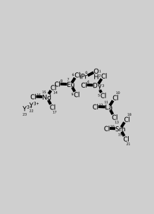 CC(C)O.[Cl][Dy]([Cl])[Cl].[Cl][Eu]([Cl])[Cl].[Cl][La]([Cl])[Cl].[Cl][Nd]([Cl])[Cl].[Cl][Sm]([Cl])[Cl].[Y+3].[Y+3]